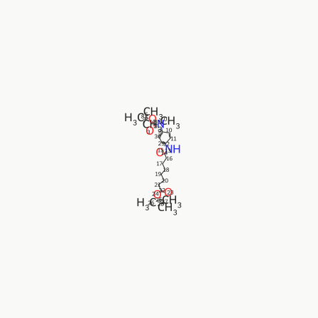 CN(C(=O)OC(C)(C)C)c1ccc(NC(=O)CCCCCCC(=O)OC(C)(C)C)cc1